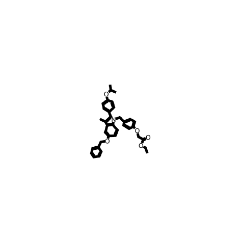 CCOC(=O)COc1ccc(Cn2c(-c3ccc(OC(C)C)cc3)c(C)c3cc(OCc4ccccc4)ccc32)cc1